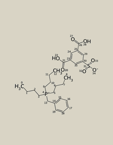 CCCC[P+](CCCC)(CCCC)Cc1ccccc1.O=C(O)c1cc(C(=O)O)cc(S(=O)(=O)[O-])c1